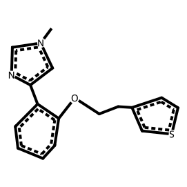 Cn1cnc(-c2ccccc2OCCc2ccsc2)c1